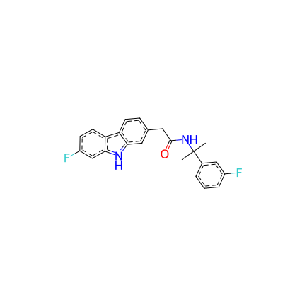 CC(C)(NC(=O)Cc1ccc2c(c1)[nH]c1cc(F)ccc12)c1cccc(F)c1